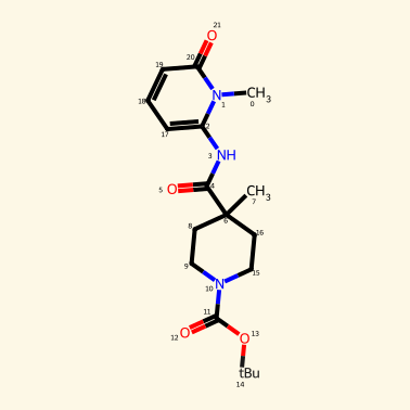 Cn1c(NC(=O)C2(C)CCN(C(=O)OC(C)(C)C)CC2)cccc1=O